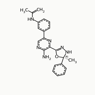 C=C(C)Nc1cccc(-c2cnc(N)c(C3=NN[C@@](C)(c4ccccc4)O3)n2)c1